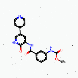 CC(C)(C)OC(=O)Nc1cccc(C(=O)Nc2cc(-c3ccncc3)c[nH]c2=O)c1